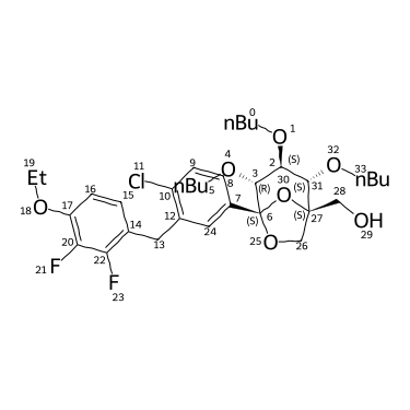 CCCCO[C@@H]1[C@@H](OCCCC)[C@@]2(c3ccc(Cl)c(Cc4ccc(OCC)c(F)c4F)c3)OC[C@](CO)(O2)[C@H]1OCCCC